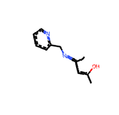 C/C(O)=C/C(C)=N/Cc1ccccn1